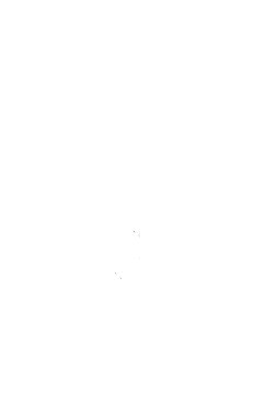 NC(=O)NC(CCCc1ccccc1)C(=O)O